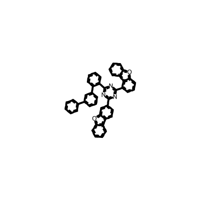 c1ccc(-c2cccc(-c3ccccc3-c3nc(-c4ccc5c(c4)oc4ccccc45)nc(-c4cccc5oc6ccccc6c45)n3)c2)cc1